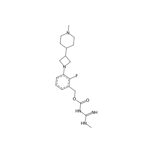 CNC(=N)NC(=O)OCc1cccc(N2CC(C3CCN(C)CC3)C2)c1F